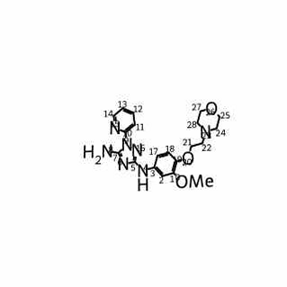 COc1cc(Nc2nc(N)n(-c3ccccn3)n2)ccc1OCCN1CCOCC1